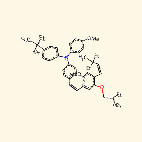 CCCCC(CC)COc1cc(/C=C\c2ccc(N(c3ccc(OC)cc3)c3ccc(C(C)(CC)CCC)cc3)cc2)c(OC)cc1/C=C\C(C)(CC)CC